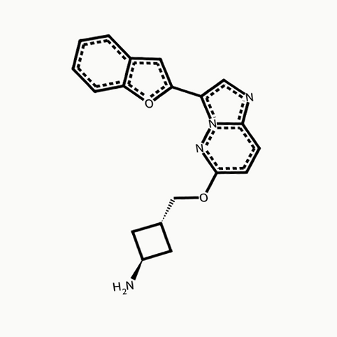 N[C@H]1C[C@H](COc2ccc3ncc(-c4cc5ccccc5o4)n3n2)C1